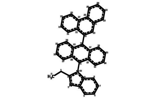 CCc1nc2ccccc2n1-c1c2ccccc2c(-c2cc3ccccc3c3ccccc23)c2ccccc12